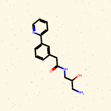 NCC(O)CNC(=O)Cc1cccc(-c2ccccn2)c1